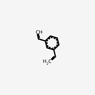 [CH]=Cc1cccc(C=C)c1